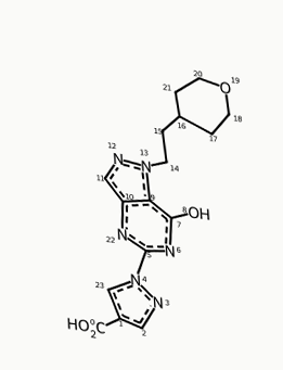 O=C(O)c1cnn(-c2nc(O)c3c(cnn3CCC3CCOCC3)n2)c1